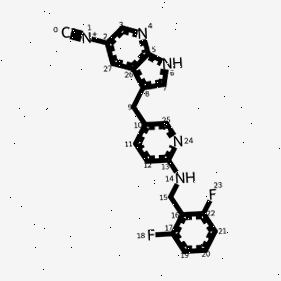 [C-]#[N+]c1cnc2[nH]cc(Cc3ccc(NCc4c(F)cccc4F)nc3)c2c1